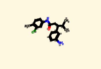 Cc1ccc(NC(=O)CC(c2cccc(N)c2)C(C)C)cc1Cl